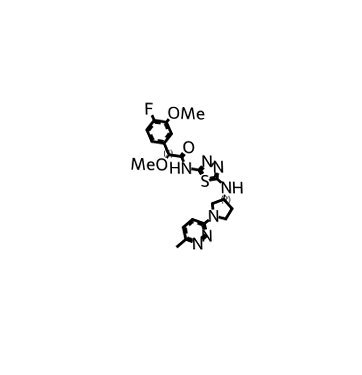 COc1cc([C@H](OC)C(=O)Nc2nnc(N[C@@H]3CCN(c4ccc(C)nn4)C3)s2)ccc1F